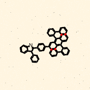 c1ccc(-c2ccccc2-c2c3ccccc3c(-c3ccccc3-c3ccccc3)c3cc(-c4ccc(C5=Nc6ccccc6C5c5ccccc5)cc4)ccc23)cc1